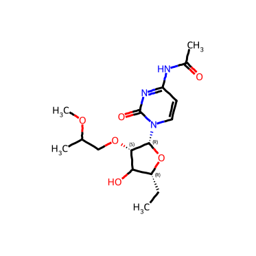 CC[C@H]1O[C@@H](n2ccc(NC(C)=O)nc2=O)[C@@H](OCC(C)OC)C1O